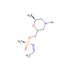 B[C@H]1CN(C(C)=O)CC(CO[P@@](C)(=O)/N=C\C)O1